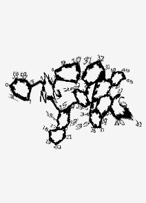 c1ccc(-c2nc(-c3ccccc3)nc(-c3cc4ccccc4cc3-c3ccc4c5cccc6c7cccc8c9ccccc9c(c9ccccc9c56)c(c4c3)c87)n2)cc1